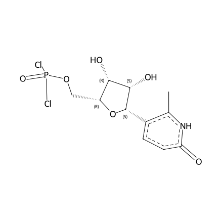 Cc1[nH]c(=O)ccc1[C@@H]1O[C@H](COP(=O)(Cl)Cl)[C@H](O)[C@@H]1O